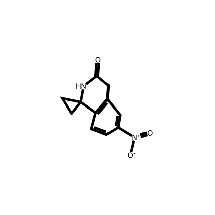 O=C1Cc2cc([N+](=O)[O-])ccc2C2(CC2)N1